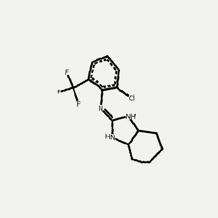 FC(F)(F)c1cccc(Cl)c1N=C1NC2CCCCC2N1